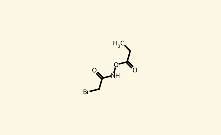 CCC(=O)ONC(=O)CBr